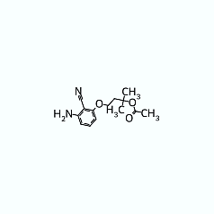 CC(=O)OC(C)(C)CCOc1cccc(N)c1C#N